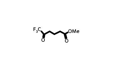 COC(=O)CCCC(=O)C(F)(F)F